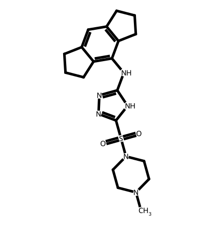 CN1CCN(S(=O)(=O)c2nnc(Nc3c4c(cc5c3CCC5)CCC4)[nH]2)CC1